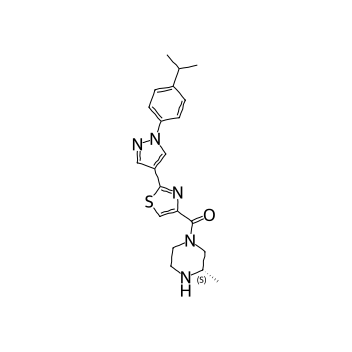 CC(C)c1ccc(-n2cc(-c3nc(C(=O)N4CCN[C@@H](C)C4)cs3)cn2)cc1